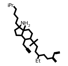 C#CCC1C(C(C)(C)CCC(CC)CCC(=C)C=C)CCC2(C)C1CCC2(N)CCCCC(C)C